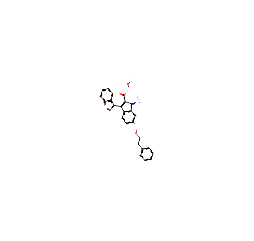 CCOC(=O)C1=C(c2csc3ccccc23)c2ccc(OCCCc3ccccc3)cc2/C1=[N+](/C)O